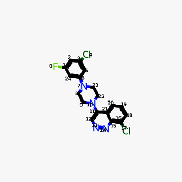 Fc1cc(Cl)cc(N2CCN(c3cnnc4c(Cl)cccc34)CC2)c1